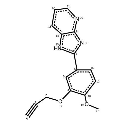 C#CCOc1cc(-c2nc3ncccc3[nH]2)ccc1OC